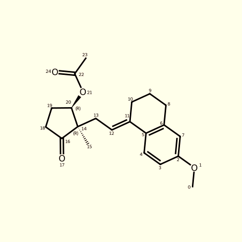 COc1ccc2c(c1)CCCC2=CC[C@@]1(C)C(=O)CC[C@H]1OC(C)=O